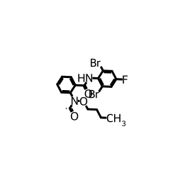 CCCCON([C]=O)c1ccccc1C(=O)Nc1c(Br)cc(F)cc1Br